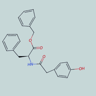 O=C(Cc1ccc(O)cc1)N[C@@H](Cc1ccccc1)C(=O)OCc1ccccc1